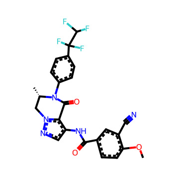 COc1ccc(C(=O)Nc2cnn3c2C(=O)N(c2ccc(C(F)(F)C(F)F)cc2)[C@@H](C)C3)cc1C#N